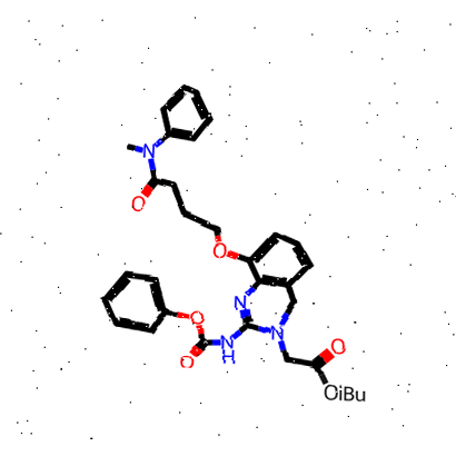 CC(C)COC(=O)CN1Cc2cccc(OCCCC(=O)N(C)c3ccccc3)c2N=C1NC(=O)Oc1ccccc1